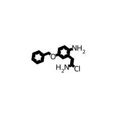 N/C(Cl)=C\c1cc(OCc2ccccc2)ccc1N